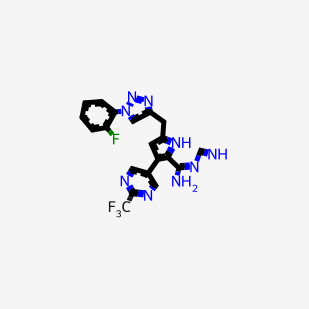 N=C/N=C(/N)c1[nH]c(Cc2cn(-c3ccccc3F)nn2)cc1-c1cnc(C(F)(F)F)nc1